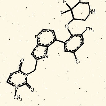 Cc1cc(Cl)cc(-c2ccnc3cc(Cn4c(=O)ccn(C)c4=O)sc23)c1OC1CNCCC1(F)F